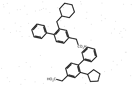 O=C(O)Cc1ccc(-c2ccccc2)c(C2CCCC2)c1.O=C(O)Cc1ccc(-c2ccccc2)c(CC2CCCCC2)c1